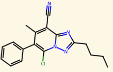 CCCCc1nc2c(C#N)c(C)c(-c3ccccc3)c(Cl)n2n1